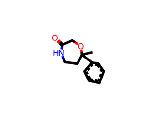 CC1(c2ccccc2)CCNC(=O)CO1